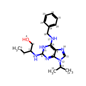 CCC(CO)NC1N=c2c(ncn2C(C)C)=C(NCc2ccccc2)N1